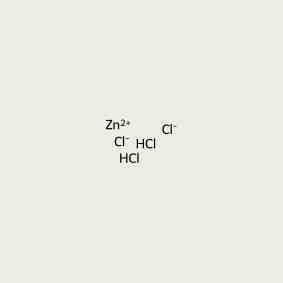 Cl.Cl.[Cl-].[Cl-].[Zn+2]